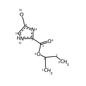 CCC(C)OC(=O)c1nc([O])c[nH]1